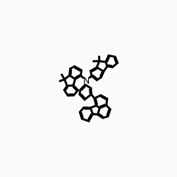 CC1(C)c2ccccc2-c2ccc(N(c3cccc(-c4ccc5cccc6c5c4-c4ccccc4-6)c3)c3cccc4c3-c3ccccc3C4(C)C)cc21